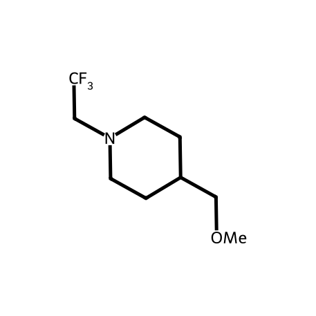 COCC1CCN(CC(F)(F)F)CC1